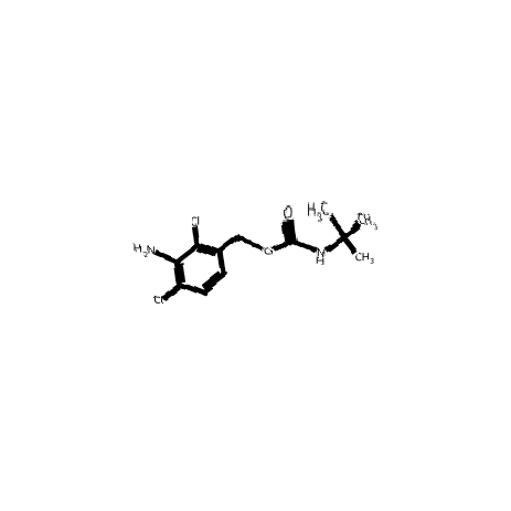 CC(C)(C)NC(=O)OCc1ccc(Cl)c(N)c1Cl